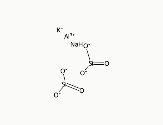 O=[Si]([O-])[O-].O=[Si]([O-])[O-].[Al+3].[K+].[NaH]